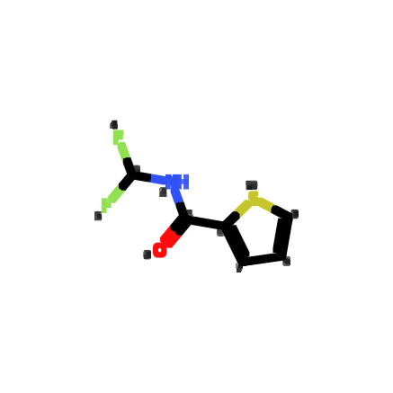 O=C(NC(F)F)c1cccs1